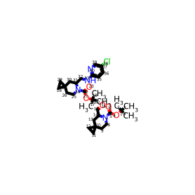 CC(C)(C)OC(=O)N1CCC2(CC2)CC1C=O.CC(C)(C)OC(=O)N1CCC2(CC2)CC1CNc1ccc(Cl)cn1